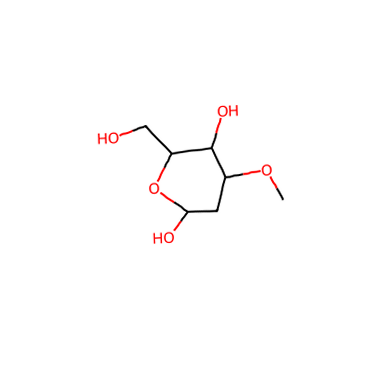 COC1CC(O)OC(CO)C1O